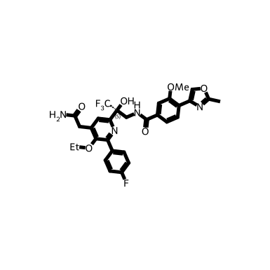 CCOc1c(CC(N)=O)cc([C@@](O)(CNC(=O)c2ccc(-c3coc(C)n3)c(OC)c2)C(F)(F)F)nc1-c1ccc(F)cc1